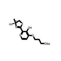 COCCCOc1ccnc(C2=N[C@@](C)(C(C)=O)CS2)c1O